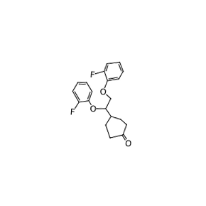 O=C1CCC(C(COc2ccccc2F)Oc2ccccc2F)CC1